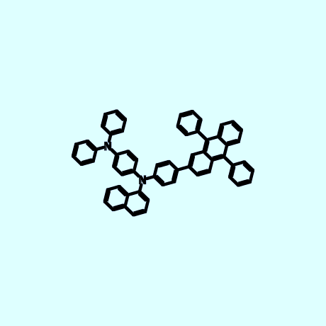 c1ccc(-c2c3ccccc3c(-c3ccccc3)c3cc(-c4ccc(N(c5ccc(N(c6ccccc6)c6ccccc6)cc5)c5cccc6ccccc56)cc4)ccc23)cc1